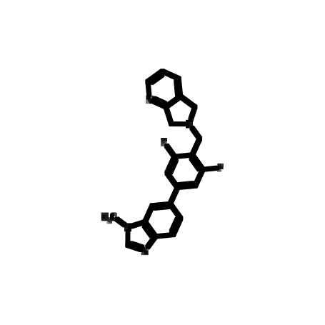 Cn1cnc2ccc(-c3cc(F)c(CN4Cc5cccnc5C4)c(F)c3)cc21